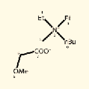 CCCC[N+](C)(CC)CC.COCC(=O)[O-]